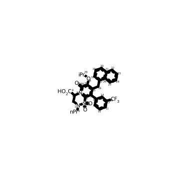 CCCN1CC(C(=O)O)n2c(c(-c3cccc(C(F)(F)F)c3)c(Cc3cccc4ccccc34)c(OC(C)C)c2=O)S1(=O)=O